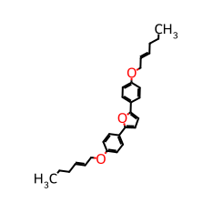 CCCC=CCOc1ccc(-c2ccc(-c3ccc(OCC=CCCC)cc3)o2)cc1